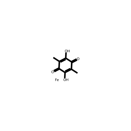 CC1=C(O)C(=O)C(C)=C(O)C1=O.[Fe]